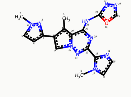 Cc1c(-c2ccn(C)n2)cn2nc(-c3nccn3C)nc(Nc3nnco3)c12